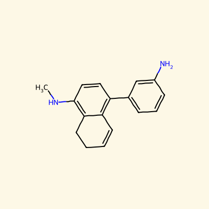 CNc1ccc(-c2cccc(N)c2)c2c1CCC=C2